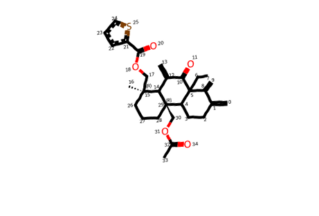 C=C1CCC2C(CC)(C1=C)C(=O)C(=C)C1[C@](C)(COC(=O)c3cccs3)CCC[C@@]21COC(C)=O